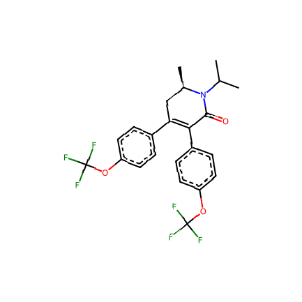 CC(C)N1C(=O)C(c2ccc(OC(F)(F)F)cc2)=C(c2ccc(OC(F)(F)F)cc2)C[C@H]1C